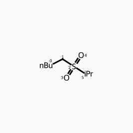 [CH2]CCCCS(=O)(=O)C([CH2])C